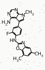 Cc1cc(C)c2oc(Nc3ccc(-c4cn(C)c5ncnc(N)c45)cc3F)nc2c1